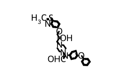 Cc1nc2cc(OC[C@H](O)CN3CCN(N(C=O)c4ccc(Oc5ccccc5)cc4)CC3)ccc2s1